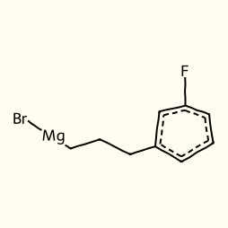 Fc1cccc(CC[CH2][Mg][Br])c1